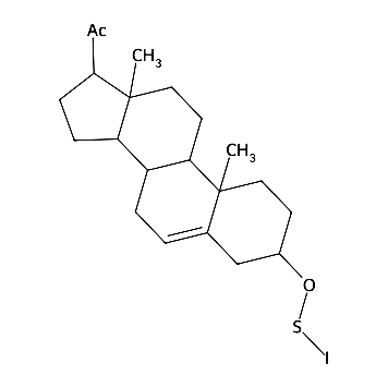 CC(=O)C1CCC2C3CC=C4CC(OSI)CCC4(C)C3CCC12C